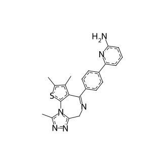 Cc1sc2c(c1C)C(c1ccc(-c3cccc(N)n3)cc1)=NCc1nnc(C)n1-2